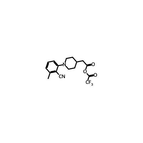 Cc1cccc(N2CCC(CC(=O)OC(=O)C(F)(F)F)CC2)c1C#N